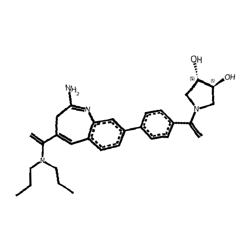 C=C(C1=Cc2ccc(-c3ccc(C(=C)N4C[C@H](O)[C@@H](O)C4)cc3)cc2N=C(N)C1)N(CCC)CCC